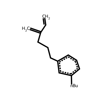 C=CC(=C)CCCc1cccc(CCCC)c1